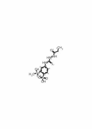 CCC(=O)NNC(=S)Nc1ccc(S(=O)(=O)O)[c]([Sn]([CH3])([CH3])[CH3])c1